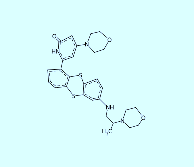 CC(CNc1ccc2c(c1)Sc1cccc(-c3cc(N4CCOCC4)cc(=O)[nH]3)c1S2)N1CCOCC1